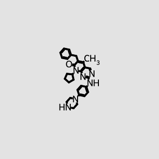 Cc1c(Cc2ccccc2)c(=O)n(C2CCCC2)c2nc(Nc3ccc(N4CCNCC4)cc3)ncc12